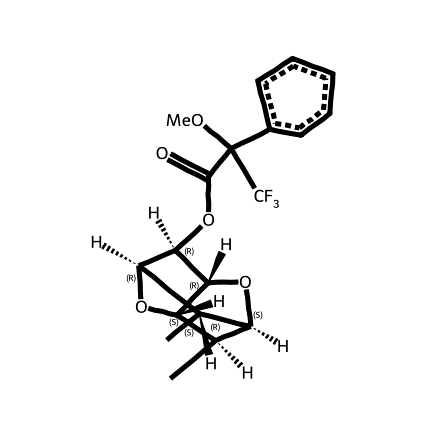 COC(C(=O)O[C@H]1[C@@H]2O[C@H]3[C@@H](C)[C@@H]2O[C@@H]1[C@H]3C)(c1ccccc1)C(F)(F)F